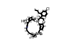 CCCc1cc(Cl)ccc1[C@]1(C)COc2ccc3cc2N(C[C@@H]2CC[C@H]2[C@](C)(O)/C=C/CC[C@@H](C)S(=O)(=O)NC3=O)C1